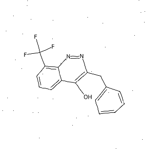 Oc1c(Cc2ccccc2)nnc2c(C(F)(F)F)cccc12